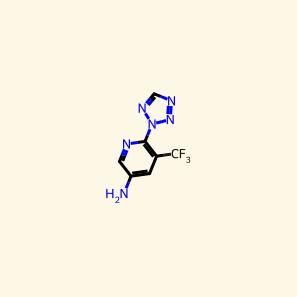 Nc1cnc(-n2ncnn2)c(C(F)(F)F)c1